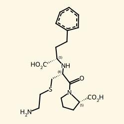 NCCSC[C@H](N[C@@H](CCc1ccccc1)C(=O)O)C(=O)N1CCC[C@H]1C(=O)O